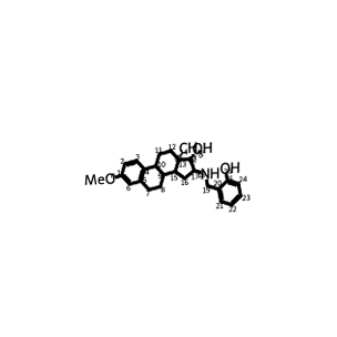 COc1ccc2c(c1)CCC1C2CC[C@]2(C)C1CC(NCc1ccccc1O)[C@@H]2O